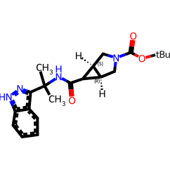 CC(C)(C)OC(=O)N1C[C@@H]2C(C(=O)NC(C)(C)c3n[nH]c4ccccc34)[C@@H]2C1